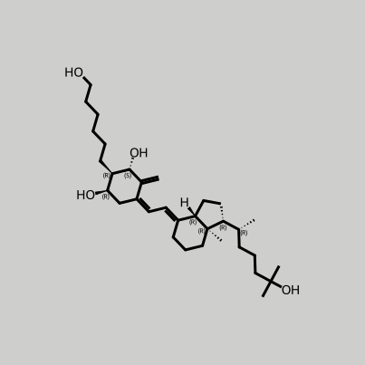 C=C1C(=CC=C2CCC[C@]3(C)[C@@H]([C@H](C)CCCC(C)(C)O)CC[C@@H]23)C[C@@H](O)[C@@H](CCCCCCO)[C@@H]1O